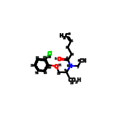 C=CCCC(=O)N(CC#N)C(COc1ccccc1Cl)C(=O)O